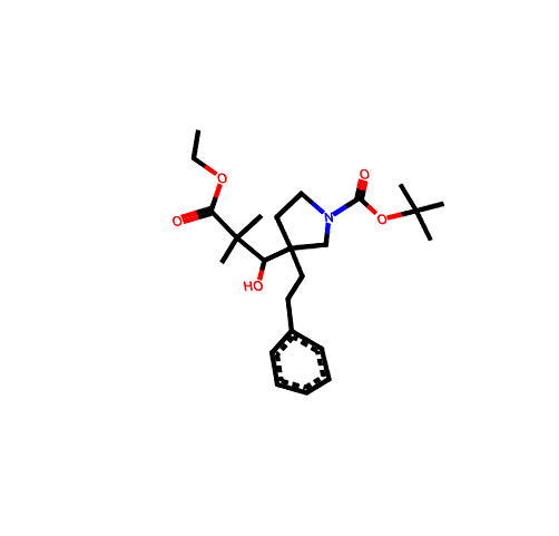 CCOC(=O)C(C)(C)C(O)C1(CCc2ccccc2)CCN(C(=O)OC(C)(C)C)C1